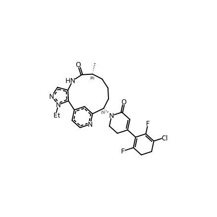 CCn1ncc2c1-c1ccnc(c1)[C@@H](N1CCC(C3=C(F)CCC(Cl)=C3F)=CC1=O)CCC[C@@H](C)C(=O)N2